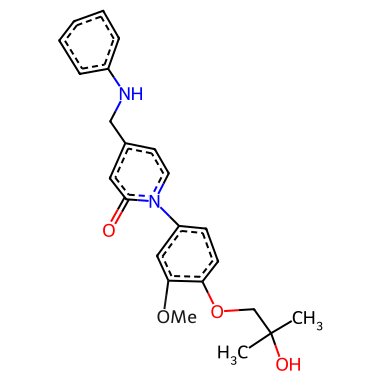 COc1cc(-n2ccc(CNc3ccccc3)cc2=O)ccc1OCC(C)(C)O